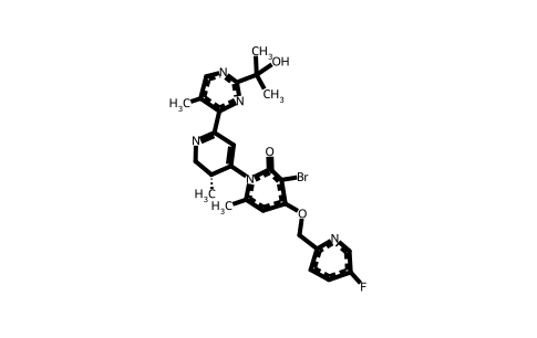 Cc1cnc(C(C)(C)O)nc1C1=NC[C@@H](C)C(n2c(C)cc(OCc3ccc(F)cn3)c(Br)c2=O)=C1